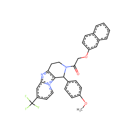 COc1ccc(C2c3c(nc4cc(C(F)(F)F)ccn34)CCN2C(=O)COc2ccc3ccccc3c2)cc1